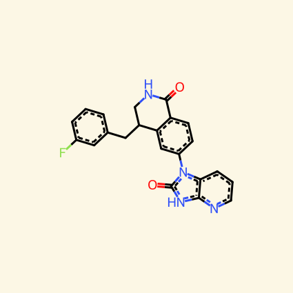 O=C1NCC(Cc2cccc(F)c2)c2cc(-n3c(=O)[nH]c4ncccc43)ccc21